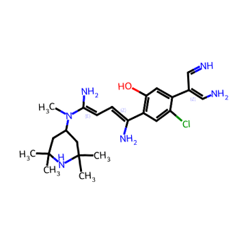 CN(/C(N)=C/C=C(\N)c1cc(Cl)c(/C(C=N)=C/N)cc1O)C1CC(C)(C)NC(C)(C)C1